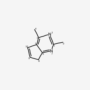 Cc1nc(C)c2c(n1)CC=C2